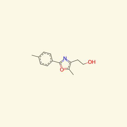 Cc1ccc(-c2nc(CCO)c(C)o2)cc1